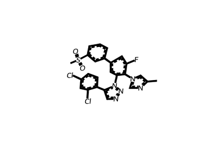 Cc1cn(-c2c(F)cc(-c3cccc(S(C)(=O)=O)c3)cc2-n2nncc2-c2ccc(Cl)cc2Cl)cn1